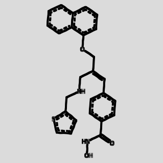 O=C(NO)c1ccc(C=C(CNCc2cccs2)COc2cccc3ccccc23)cc1